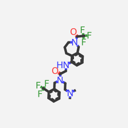 CN(C)CCN(Cc1ccccc1C(F)(F)F)C(=O)CNc1cccc2c1CCCN(C(=O)C(F)(F)F)C2